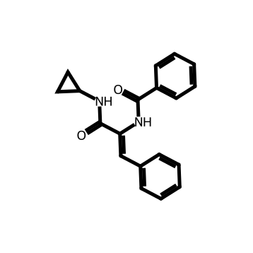 O=C(NC1CC1)C(=Cc1ccccc1)NC(=O)c1ccccc1